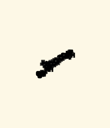 C=C[C@@]12CC[C@@]3(NCCN4CCS(=O)(=O)CC4)CC[C@@H](CC(=C)C)C3[C@H]1CCC1[C@@]3(C)CC=C(C4=CC[C@](/C=C/Oc5ccncn5)(C(=O)O)CC4)C(C)(C)C3CC[C@]12C